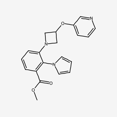 COC(=O)c1cccc(N2CC(Oc3cccnc3)C2)c1-n1cccc1